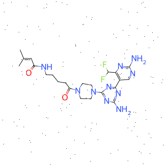 CC(C)=CC(=O)NCCCCC(=O)N1CCN(c2nc(N)nc(-c3cnc(N)nc3C(F)F)n2)CC1